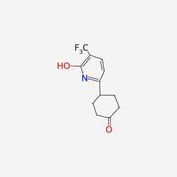 O=C1CCC(c2ccc(C(F)(F)F)c(O)n2)CC1